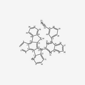 C=Cc1c(C=C)c2c3ncccc3n(-c3nc(-c4cccc(C#N)c4)c4ccccc4n3)c2c2sc3ccccc3c12